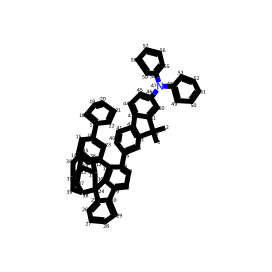 CC1(C)c2cc(-c3ccc4c(c3-c3cccc(-c5ccccc5)c3)C3(c5ccccc5-4)C4CC5CC(C4)CC3C5)ccc2-c2ccc(N(c3ccccc3)c3ccccc3)cc21